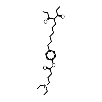 CCC(=O)C(CCCCCCc1ccc(OC(=O)CCCN(CC)CC)cc1)C(=O)CC